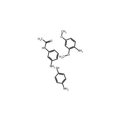 CC(=O)Nc1cccc(N)c1.COc1ccc(N)c(OC)c1.Nc1ccc(S)cc1